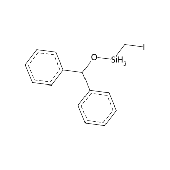 IC[SiH2]OC(c1ccccc1)c1ccccc1